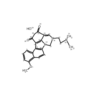 COc1cccc2c1ccc1c2c2c3n1CN(CCN(C)C)C=C3C(=O)CC2=O.Cl